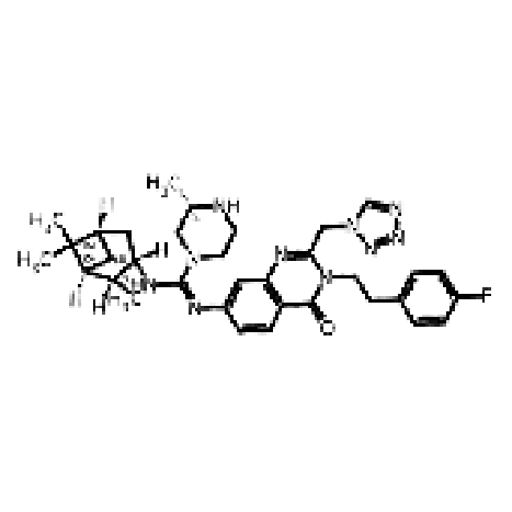 C[C@H]1[C@@H](NC(=Nc2ccc3c(=O)n(CCc4ccc(F)cc4)c(Cn4cnnn4)nc3c2)N2CCN[C@@H](C)C2)C[C@@H]2C[C@@H]1C2(C)C